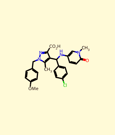 COc1ccc(Cn2nc(C(=O)O)c(C(Nc3ccc(=O)n(C)c3)c3ccc(Cl)cc3)c2C)cc1